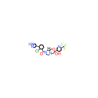 O=C(c1cccc(-c2cn[nH]c2)c1Cl)N1CCN2C[C@@](O)(c3ccc(C(F)(F)F)nc3)OC[C@@H]2C1